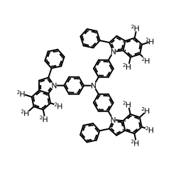 [2H]c1c([2H])c([2H])c2c(cc(-c3ccccc3)n2-c2ccc(N(c3ccc(-n4c(-c5ccccc5)cc5c([2H])c([2H])c([2H])c([2H])c54)cc3)c3ccc(-n4c(-c5ccccc5)cc5c([2H])c([2H])c([2H])c([2H])c54)cc3)cc2)c1[2H]